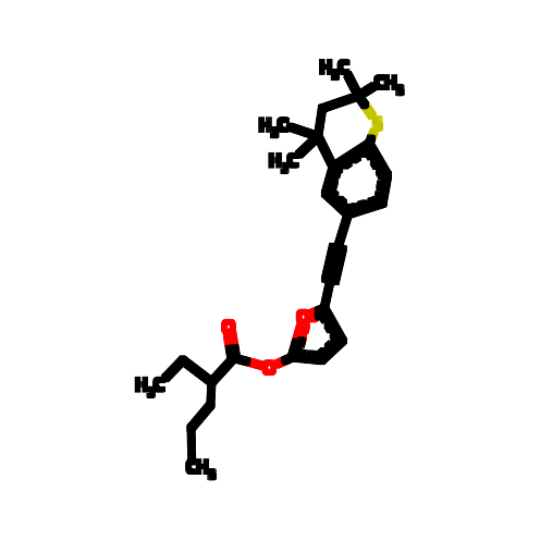 CCCC(CC)C(=O)Oc1ccc(C#Cc2ccc3c(c2)C(C)(C)CC(C)(C)S3)o1